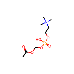 CC(=O)OCOP(=O)(O)OCC[N+](C)(C)C